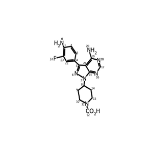 Nc1ccc(-c2nn(C3CCN(C(=O)O)CC3)c3ncnc(N)c23)cc1F